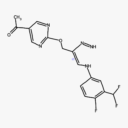 CC(=O)c1cnc(OC/C(=C/Nc2ccc(F)c(C(F)F)c2)N=N)nc1